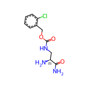 NC(=O)[C@@H](N)CNC(=O)OCc1ccccc1Cl